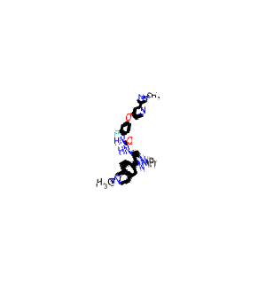 CC(C)n1cc(NC(=O)Nc2ccc(Oc3ccnc(-c4cnn(C)c4)c3)cc2F)c(-c2ccc3c(c2)CCN(C)C3)n1